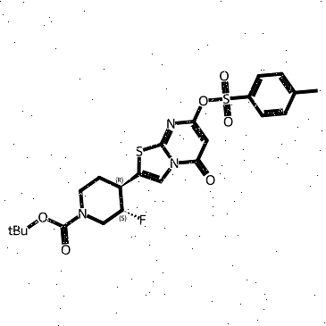 Cc1ccc(S(=O)(=O)Oc2cc(=O)n3cc([C@@H]4CCN(C(=O)OC(C)(C)C)C[C@H]4F)sc3n2)cc1